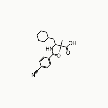 CC(C)(C(=O)O)C(CC1CCCCC1)NC(=O)c1ccc(C#N)cc1